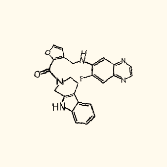 O=C(c1occc1CNc1cc2nccnc2cc1F)N1CCc2c([nH]c3ccccc23)C1